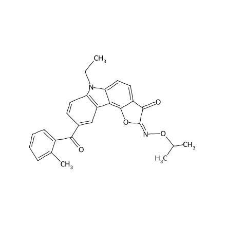 CCn1c2ccc(C(=O)c3ccccc3C)cc2c2c3c(ccc21)C(=O)/C(=N\OC(C)C)O3